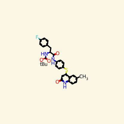 Cc1ccc2[nH]c(=O)cc(Sc3ccc(NC(=O)C(Cc4ccc(F)cc4)NC(=O)OC(C)(C)C)cc3)c2c1